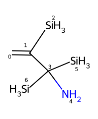 C=C([SiH3])C(N)([SiH3])[SiH3]